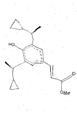 COC(=O)/C=C/c1cc([C@H](C)C2CC2)c(O)c([C@H](C)C2CC2)c1